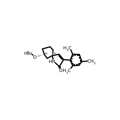 CCCCO[C@@H]1CCC[C@]2(C=C(c3c(C)cc(C)cc3C)C(=O)N2)C1